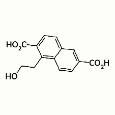 O=C(O)c1ccc2c(CCO)c(C(=O)O)ccc2c1